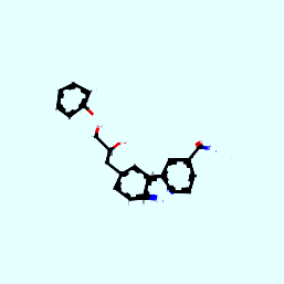 NC(=O)c1ccc2[nH]c3ccc(CC(O)COc4ccccc4)cc3c2c1